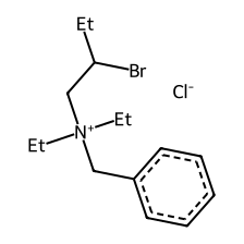 CCC(Br)C[N+](CC)(CC)Cc1ccccc1.[Cl-]